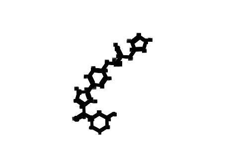 CC1CCCN(C(=O)c2coc(-c3ccc(CNC(=O)Cc4ccsc4)cc3)n2)C1